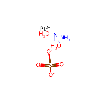 N.N.O.O.O=S(=O)([O-])[O-].[Pt+2]